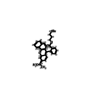 C[N+](C)=c1ccc2c(-c3ccccc3C(=O)OCCCC(C)(C)C)c3ccc4ccccc4c3oc-2c1